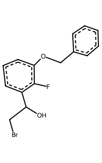 OC(CBr)c1cccc(OCc2ccccc2)c1F